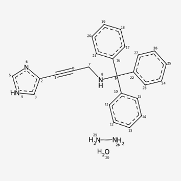 C(#Cc1c[nH]cn1)CNC(c1ccccc1)(c1ccccc1)c1ccccc1.NN.O